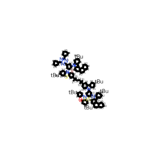 CC(C)(C)c1ccc2c(c1)Oc1cc(C(C)(C)C)cc3c1N2c1cc(-n2c4ccc(C(C)(C)C)cc4c4cc(C(C)(C)CCC(C)(C)c5cc6c7c(c5)B5c8c(cc(-c9nc(-c%10ccccc%10)nc(-c%10ccccc%10)n9)cc8-n8c9cc(C(C)(C)C)ccc9c9c%10c(ccc%11ccccc%11%10)cc5c98)N7c5ccc(C(C)(C)C)cc5S6)ccc42)cc2c1[SH]3c1cc3ccc4ccccc4c3c3c4ccc(C(C)(C)C)cc4n-2c13